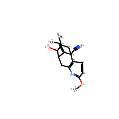 C/C=C1\C2Cc3nc(OC)ccc3C1(C#N)CC(C)C2O